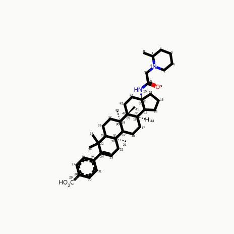 CC1CCCCN1CC(=O)N[C@]12CCCC1[C@H]1CCC3[C@@]4(C)CC=C(c5ccc(C(=O)O)cc5)C(C)(C)C4CC[C@@]3(C)[C@]1(C)CC2